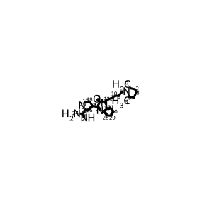 C[C@@H]1CCC[C@H](C)N1CCCCCn1c(=O)c(-c2ccnc(C(=N)N)c2)nc2ccccc21